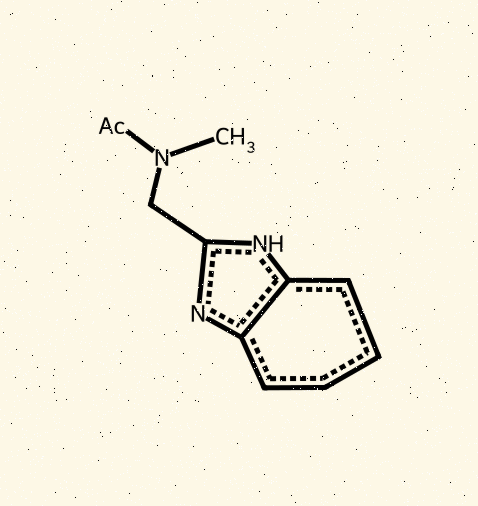 CC(=O)N(C)Cc1nc2ccccc2[nH]1